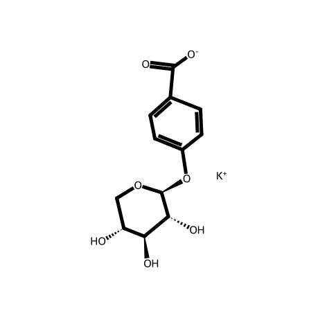 O=C([O-])c1ccc(O[C@@H]2OC[C@@H](O)[C@H](O)[C@H]2O)cc1.[K+]